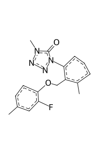 Cc1ccc(OCc2c(C)cccc2-n2nnn(C)c2=O)c(F)c1